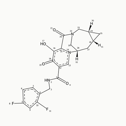 O=C(NCc1ccc(F)cc1F)c1cn2c(c(O)c1=O)C(=O)N1C[C@@H]3C[C@@H]3C[C@H]2C1